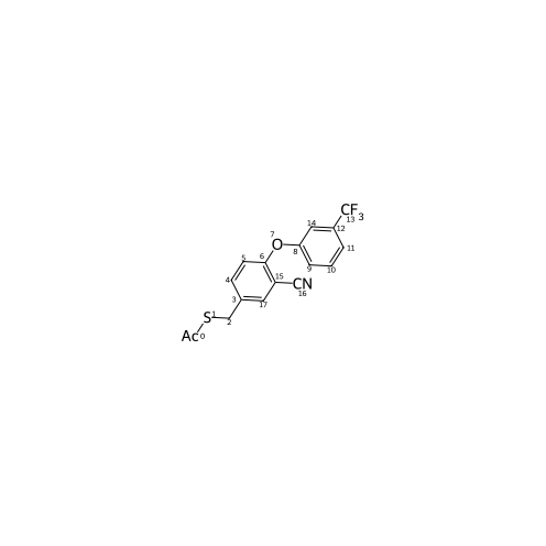 CC(=O)SCc1ccc(Oc2cccc(C(F)(F)F)c2)c(C#N)c1